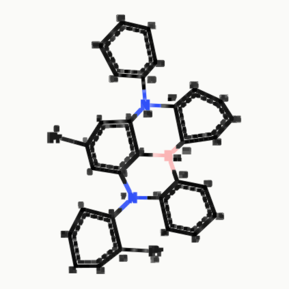 CC(C)c1cc2c3c(c1)N(c1ccccc1C(C)C)c1ccccc1B3c1ccccc1N2c1ccccc1